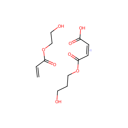 C=CC(=O)OCCO.O=C(O)/C=C\C(=O)OCCCO